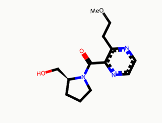 COCCc1nccnc1C(=O)N1CCC[C@H]1CO